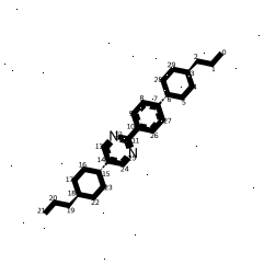 CCC[C@H]1CC[C@H](c2ccc(-c3ncc([C@H]4CC[C@H](CCC)CC4)cn3)cc2)CC1